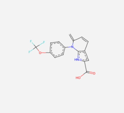 C=C1C=Cc2cc(C(=O)O)[nH]c2N1c1ccc(OC(F)(F)F)cc1